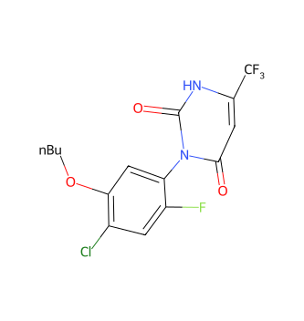 CCCCOc1cc(-n2c(=O)cc(C(F)(F)F)[nH]c2=O)c(F)cc1Cl